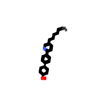 C=CCCCCc1ccc(-c2ccc([C@H]3CC[C@H](O)CC3)cc2)nc1